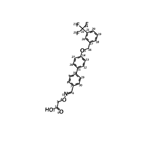 O=C(O)CON=Cc1ccc(-c2ccc(OCc3cccc(C(F)(F)F)c3)cc2)cc1